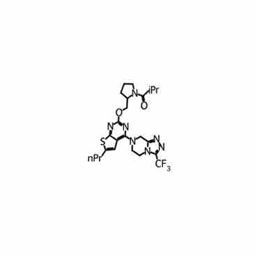 CCCc1cc2c(N3CCn4c(nnc4C(F)(F)F)C3)nc(OCC3CCCN3C(=O)C(C)C)nc2s1